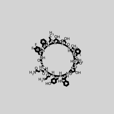 CCCC[C@H]1C(=O)N2C[C@H](O)C[C@@H]2C(=O)N[C@@H](CC(=O)O)C(=O)N[C@@H](C(C)C)C(=O)N(C)[C@@H](Cc2ccccc2)C(=O)N[C@@H](CC(N)=O)C(=O)N2C[C@H](O)C[C@@H]2C(=O)N[C@@H](Cc2c[nH]c3ccccc23)C(=O)N[C@@H](Cc2ccc(O)cc2)C(=O)N[C@@H](CCCN)C(=O)N[C@H](C(=O)NCC(N)=O)CSCC(=O)N[C@@H](Cc2ccc(F)c(F)c2)C(=O)N(C)[C@@H](Cc2ccccc2)C(=O)N1C